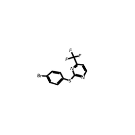 FC(F)(F)c1ccnc(Sc2ccc(Br)cc2)n1